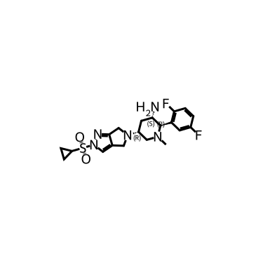 CN1C[C@H](N2Cc3cn(S(=O)(=O)C4CC4)nc3C2)C[C@H](N)[C@H]1c1cc(F)ccc1F